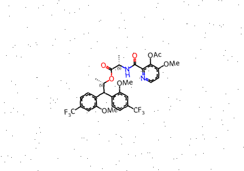 COc1cc(C(F)(F)F)ccc1C(c1ccc(C(F)(F)F)cc1OC)[C@H](C)OC(=O)[C@H](C)NC(=O)c1nccc(OC)c1OC(C)=O